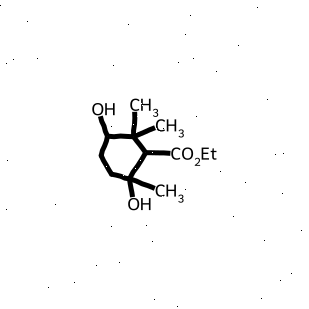 CCOC(=O)C1C(C)(O)CCC(O)C1(C)C